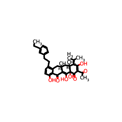 CCc1cccc(CCc2ccc(O)c3c2C[C@]2(C)C[C@]4(C)C(C(C)C)C(O)=C(C(C)=O)C(=O)[C@]4(O)C(O)=C2C3=O)c1